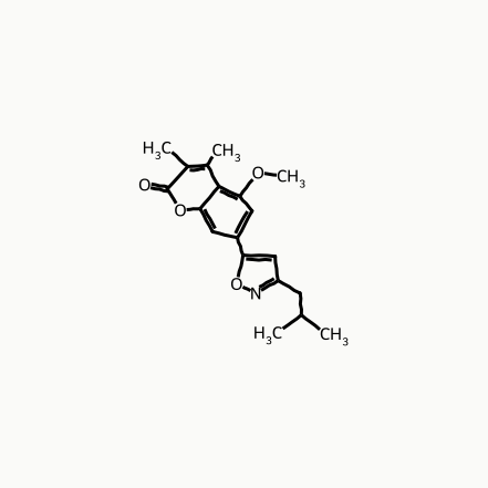 COc1cc(-c2cc(CC(C)C)no2)cc2oc(=O)c(C)c(C)c12